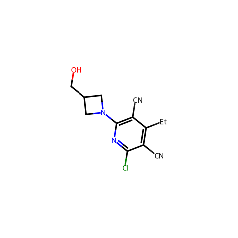 CCc1c(C#N)c(Cl)nc(N2CC(CO)C2)c1C#N